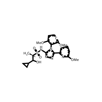 COc1cccc(-c2nnc(NS(=O)(=O)[C@H](C)C(O)C3CC3)n2-c2c(OC)cccc2OC)n1